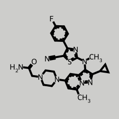 Cc1cc(N2CCN(CC(N)=O)CC2)cc2c(N(C)c3nc(-c4ccc(F)cc4)c(C#N)s3)c(C3CC3)nn12